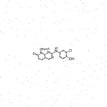 CCCCCn1c(=O)ccc2cnc(Nc3ccc(O)c(Cl)c3)nc21